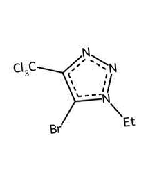 CCn1nnc(C(Cl)(Cl)Cl)c1Br